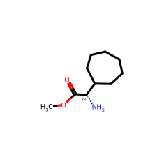 COC(=O)[C@@H](N)C1CCCCCC1